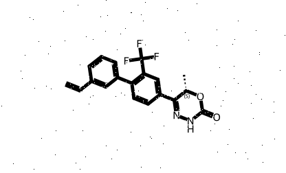 C=Cc1cccc(-c2ccc(C3=NNC(=O)O[C@H]3C)cc2C(F)(F)F)c1